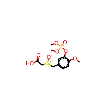 COc1ccc(C[S+]([O-])CC(=O)O)cc1OP(=O)(OC)OC